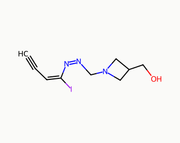 C#C/C=C(I)\N=N/CN1CC(CO)C1